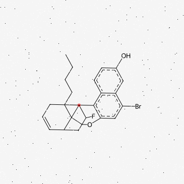 CCCCC12CC=CC(CC(F)C1)C21COc2cc(Br)c3cc(O)ccc3c2C1